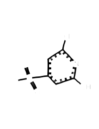 Cc1cc(S(C)(=O)=O)cc(Cl)n1